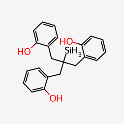 Oc1ccccc1CC([SiH3])(Cc1ccccc1O)Cc1ccccc1O